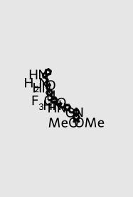 COc1cc2nccc(Oc3cccc(NC(=O)Nc4ccc(N5CCC(NC(=O)[C@@H](N)Cc6c[nH]c7ccccc67)CC5)c(C(F)(F)F)c4)c3)c2cc1OC